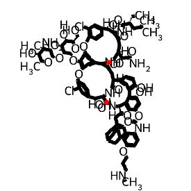 CC[C@H](CC(C)C)C(=O)N[C@H]1C(=O)C[C@@H](CC(N)=O)C(=O)N[C@H]2C(=O)C[C@H]3C(=O)N[C@H](C(=O)N[C@H](C(=O)CC4C5CC6CC(C5)CC4C6)c4cc(OC(=O)Nc5ccc(OCCCNC)cc5)cc(O)c4-c4cc3ccc4O)[C@H](O)c3ccc(c(Cl)c3)Oc3cc2cc(c3O[C@@H]2O[C@H](CO)[C@@H](O)[C@H](O)[C@H]2O[C@H]2C[C@](C)(N)[C@H](O)[C@H](C)O2)Oc2ccc(cc2Cl)[C@H]1O